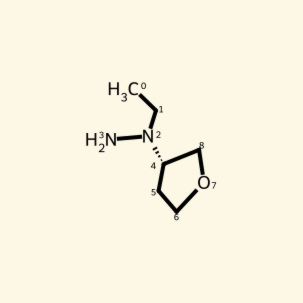 CCN(N)[C@H]1CCOC1